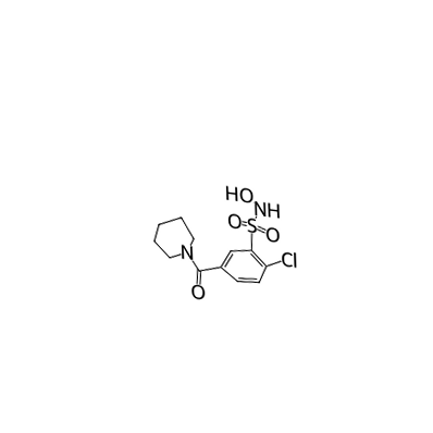 O=C(c1ccc(Cl)c(S(=O)(=O)NO)c1)N1CCCCC1